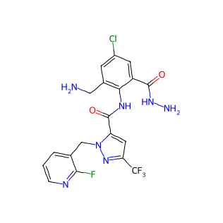 NCc1cc(Cl)cc(C(=O)NN)c1NC(=O)c1cc(C(F)(F)F)nn1Cc1cccnc1F